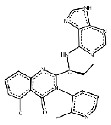 CC[C@H](Nc1ncnc2[nH]cnc12)c1nc2cccc(Cl)c2c(=O)n1-c1cccnc1C